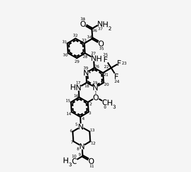 COc1cc(N2CCN(C(C)=O)CC2)ccc1Nc1ncc(C(F)(F)F)c(Nc2ccccc2C(=O)C(N)=O)n1